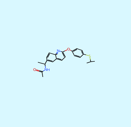 CC(=O)NC(C)c1ccc2nc(Oc3ccc(SC(C)C)cc3)ccc2c1